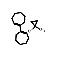 C1=C(C2=CCCCCC2)CCCCC1.CC1(C)CC1